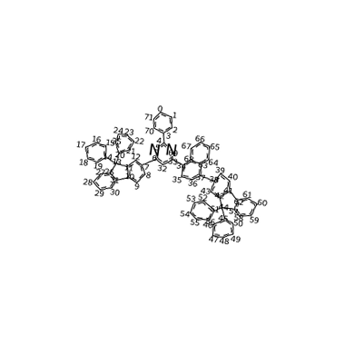 c1ccc(-c2nc(-c3ccc4c(c3)C(c3ccccc3)(c3ccccc3)c3ccccc3-4)cc(-c3ccc(-c4ccc5c(c4)C(c4ccccc4)(c4ccccc4)c4ccccc4-5)c4ccccc34)n2)cc1